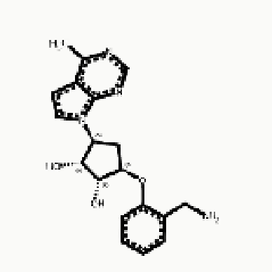 Cc1ncnc2c1ccn2[C@H]1C[C@@H](Oc2ccccc2CN)[C@H](O)[C@@H]1O